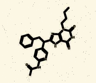 CCCCn1c(=O)[nH]c(=O)c2[nH]c(C(Cc3ccccc3)c3ccc(NC(C)=O)nc3)nc21